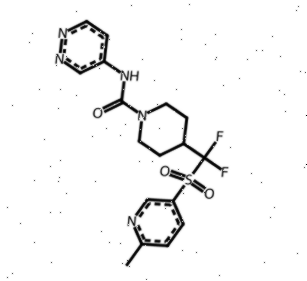 Cc1ccc(S(=O)(=O)C(F)(F)C2CCN(C(=O)Nc3ccnnc3)CC2)cn1